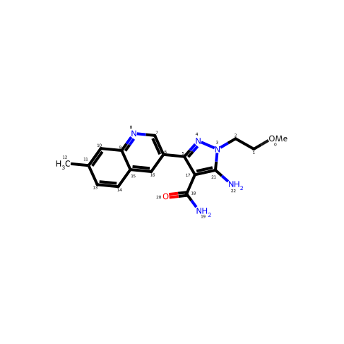 COCCn1nc(-c2cnc3cc(C)ccc3c2)c(C(N)=O)c1N